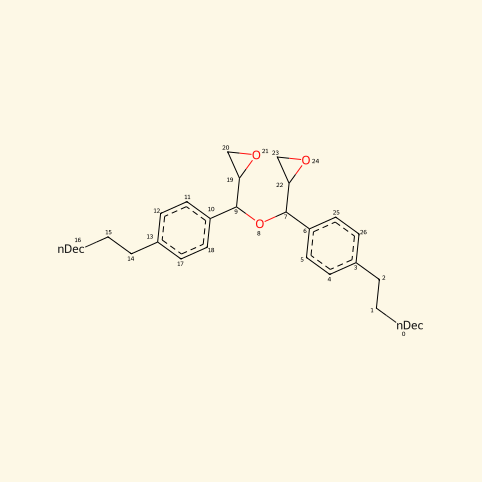 CCCCCCCCCCCCc1ccc(C(OC(c2ccc(CCCCCCCCCCCC)cc2)C2CO2)C2CO2)cc1